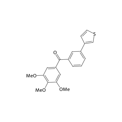 COc1cc(C(=O)c2cccc(-c3ccsc3)c2)cc(OC)c1OC